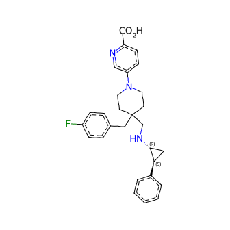 O=C(O)c1ccc(N2CCC(CN[C@@H]3C[C@H]3c3ccccc3)(Cc3ccc(F)cc3)CC2)cn1